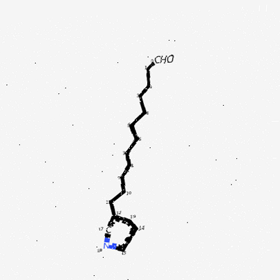 O=CCCCCCCCCCCCc1cccnc1